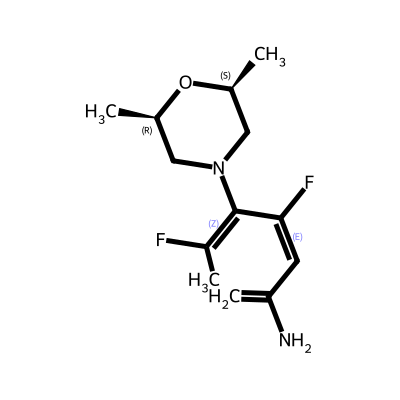 C=C(N)/C=C(F)\C(=C(/C)F)N1C[C@@H](C)O[C@@H](C)C1